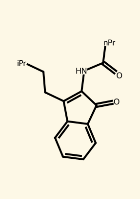 CCCC(=O)NC1=C(CCC(C)C)c2ccccc2C1=O